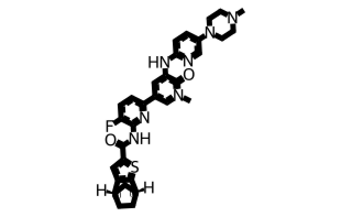 CN1CCN(c2ccc(Nc3cc(-c4ccc(F)c(NC(=O)c5cc6c(s5)[C@@H]5CC[C@H]6C5)n4)cn(C)c3=O)nc2)CC1